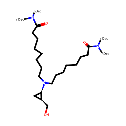 CCCCCCCCCCN(CCCCCCCCCC)C(=O)CCCCCCCN(CCCCCCCC(=O)N(CCCCCCCCCC)CCCCCCCCCC)[C@@H]1C[C@@H]1CO